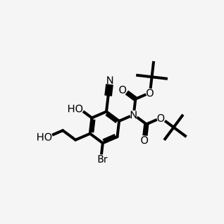 CC(C)(C)OC(=O)N(C(=O)OC(C)(C)C)c1cc(Br)c(CCO)c(O)c1C#N